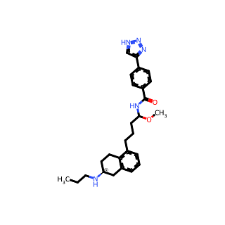 CCCN[C@H]1CCc2c(CCCC(NC(=O)c3ccc(-c4c[nH]nn4)cc3)OC)cccc2C1